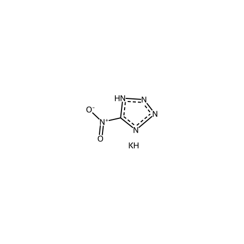 O=[N+]([O-])c1nnn[nH]1.[KH]